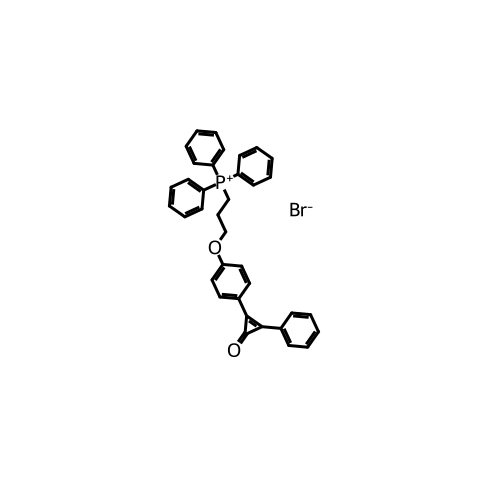 O=c1c(-c2ccccc2)c1-c1ccc(OCCC[P+](c2ccccc2)(c2ccccc2)c2ccccc2)cc1.[Br-]